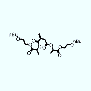 C=C(CC(=O)OC(C)C(=O)OCCOCCCC)C(=O)OC(C)C(=O)OCCOCCCC